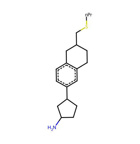 CCCSCC1CCc2cc(C3CCC(N)C3)ccc2C1